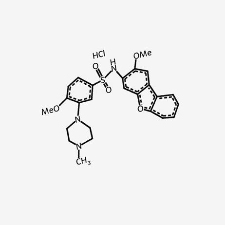 COc1cc2c(cc1NS(=O)(=O)c1ccc(OC)c(N3CCN(C)CC3)c1)oc1ccccc12.Cl